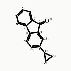 O=C1c2ccccc2-c2ccc(C3CC3)cc21